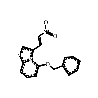 O=[N+]([O-])/C=C/c1cnc2cccc(OCc3ccccc3)n12